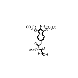 CCOC(=O)Oc1c2ccc(CC(=O)N(OC)C(=O)NO)ccc-2c(OC(=O)OCC)c1N